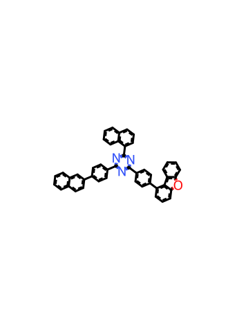 c1ccc2cc(-c3ccc(-c4nc(-c5ccc(-c6cccc7oc8ccccc8c67)cc5)nc(-c5cccc6ccccc56)n4)cc3)ccc2c1